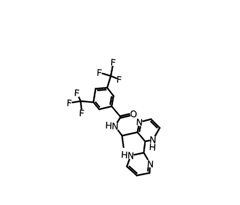 CC(NC(=O)c1cc(C(F)(F)F)cc(C(F)(F)F)c1)C1=NC=CNC1C1N=CC=CN1